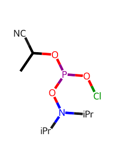 CC(C#N)OP(OCl)ON(C(C)C)C(C)C